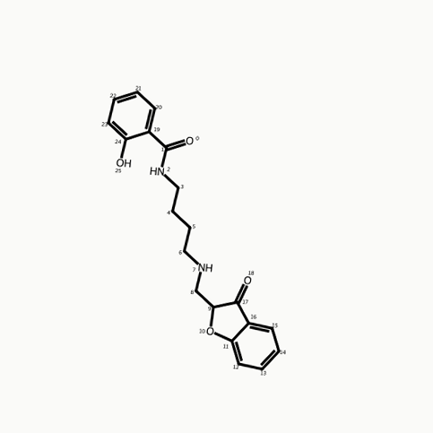 O=C(NCCCCNCC1Oc2ccccc2C1=O)c1ccccc1O